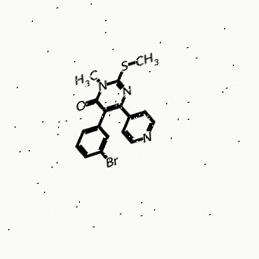 CSc1nc(-c2ccncc2)c(-c2cccc(Br)c2)c(=O)n1C